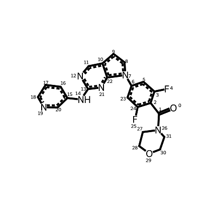 O=C(c1c(F)cc(-n2ccc3cnc(Nc4cccnc4)nc32)cc1F)N1CCOCC1